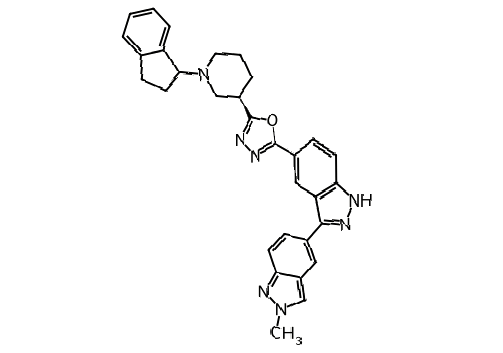 Cn1cc2cc(-c3n[nH]c4ccc(-c5nnc([C@@H]6CCCN(C7CCc8ccccc87)C6)o5)cc34)ccc2n1